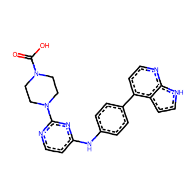 O=C(O)N1CCN(c2nccc(Nc3ccc(-c4ccnc5[nH]ccc45)cc3)n2)CC1